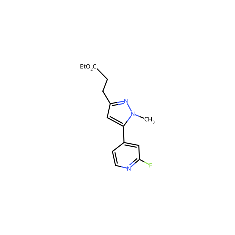 CCOC(=O)CCc1cc(-c2ccnc(F)c2)n(C)n1